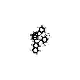 N#Cc1ccc(C#N)c(-n2c3ccccc3c3cc4ccccc4cc32)c1-n1c2ccccc2c2ccccc21